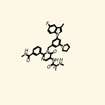 CNC(=O)c1cccc(-c2ncc(NC(=O)[C@H](C)NC)c(=O)n2Cc2cc(N3CCCC3)cc(-n3cc(C)c4cc(F)ccc43)c2)c1